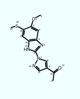 COc1cc2nc(-n3cc(C(C)=O)cn3)[nH]c2cc1SC